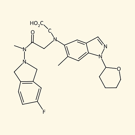 Cc1cc2c(cnn2C2CCCCO2)cc1N(CC(=O)O)CC(=O)N(C)N1Cc2ccc(F)cc2C1